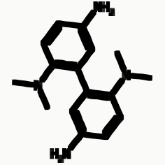 CN(C)c1ccc(N)cc1-c1cc(N)ccc1N(C)C